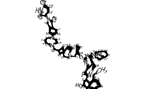 CCc1cccc2cc(O)cc(-c3ncc4c(N5CC6CCC(C5)N6)nc(OCC5(CN6CCC7(CC6)CC(CN6CCCN(c8ccc9c(c8)CN([C@H]8CCC(=O)NC8=O)C9=O)CC6)C7)CC5)nc4c3F)c12